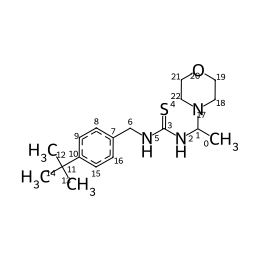 CC(NC(=S)NCc1ccc(C(C)(C)C)cc1)N1CCOCC1